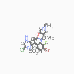 CO[C@@H]1CN(C)C[C@H]1Oc1cc(C2(C)C(C#N)NCC(Cl)N2C(=O)O)c2ccc(Br)c(F)c2n1